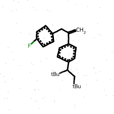 C=C(Cc1ccc(F)cc1)c1ccc(C(CC(C)(C)C)C(C)(C)C)cc1